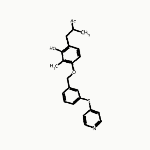 CC(=O)C(C)Cc1ccc(OCc2cccc(Sc3ccncc3)c2)c(C)c1O